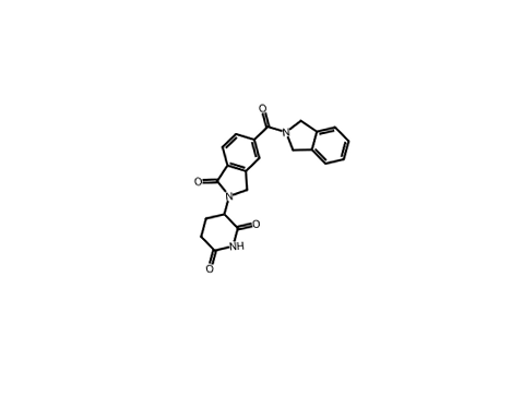 O=C1CCC(N2Cc3cc(C(=O)N4Cc5ccccc5C4)ccc3C2=O)C(=O)N1